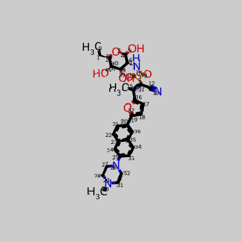 CC[C@H]1OC(O)[C@H](NS(=O)(=O)/C(C#N)=C(\C)c2ccc(-c3ccc4cc(N5CCN(C)CC5)ccc4c3)o2)[C@@H](O)[C@@H]1O